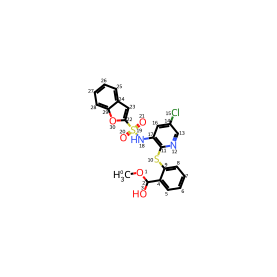 COC(O)c1ccccc1Sc1ncc(Cl)cc1NS(=O)(=O)c1cc2ccccc2o1